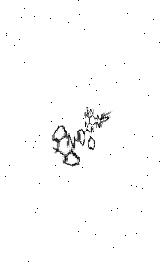 CC1(C)c2ccccc2N(c2ccc(-c3nc4c5nsnc5c5nsnc5c4nc3-c3ccccc3)cc2)c2ccccc21